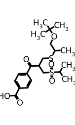 CC(COC(C)(C)C)SCC(CS(=O)(=O)C(C)C)C(=O)c1ccc(C(=O)O)cc1